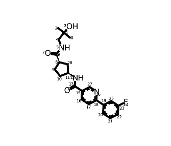 CC(C)(O)CNC(=O)[C@@H]1CC[C@H](NC(=O)c2ccc(-c3cccc(F)c3)nc2)C1